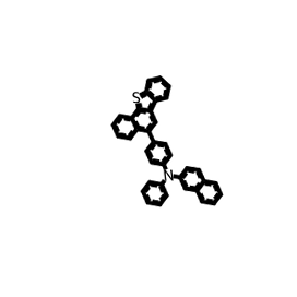 c1ccc(N(c2ccc(-c3cc4c5ccccc5sc4c4ccccc34)cc2)c2ccc3ccccc3c2)cc1